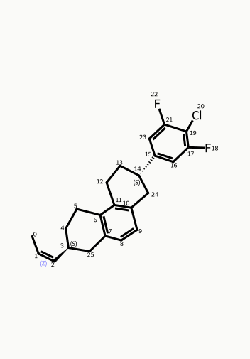 C/C=C\[C@H]1CCc2c(ccc3c2CC[C@H](c2cc(F)c(Cl)c(F)c2)C3)C1